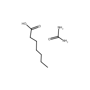 CCCCCCC(=O)O.NC(N)=O